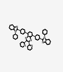 c1ccc(-n2c(-c3ccc(-c4ccc(-c5ccc(-c6nc7ccccc7n6-c6ccccc6)cc5)c5nc(-c6ccccn6)c(-c6ccccn6)nc45)cc3)nc3ccccc32)cc1